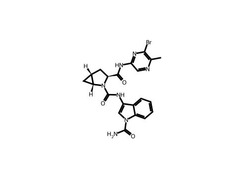 Cc1ncc(NC(=O)[C@@H]2C[C@H]3C[C@H]3N2C(=O)Nc2cn(C(N)=O)c3ccccc23)nc1Br